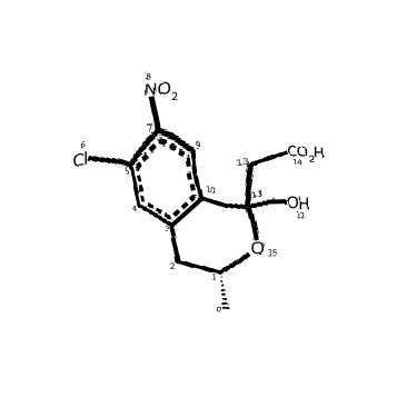 C[C@@H]1Cc2cc(Cl)c([N+](=O)[O-])cc2C(O)(CC(=O)O)O1